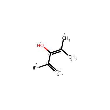 C=C(C(O)=C(C)C)C(C)C